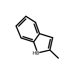 CC1=Cc2ccccc2B1